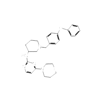 c1ccc(Oc2ccc(CN3CCCC(Nc4nccc(N5CCCCCC5)n4)C3)cc2)cc1